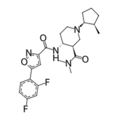 C[C@@H]1CCC[C@@H]1N1CC[C@@H](NC(=O)c2cc(-c3ccc(F)cc3F)on2)[C@H](C(=O)N(C)C)C1